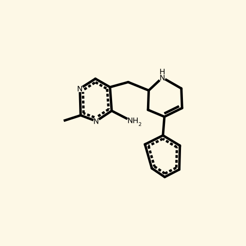 Cc1ncc(CC2CC(c3ccccc3)=CCN2)c(N)n1